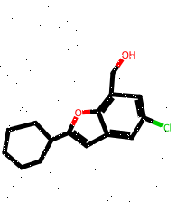 OCc1cc(Cl)cc2cc(C3CCCCC3)oc12